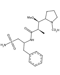 CO[C@@H](C1CCCN1C(=O)O)[C@@H](C)C(=O)NC(Cc1ccccc1)CS(N)(=O)=O